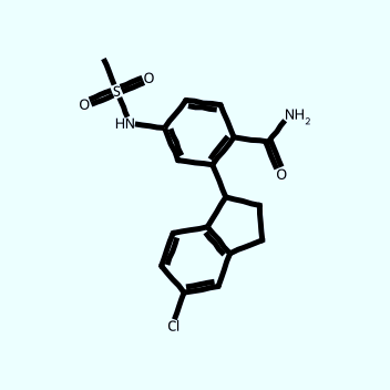 CS(=O)(=O)Nc1ccc(C(N)=O)c(C2CCc3cc(Cl)ccc32)c1